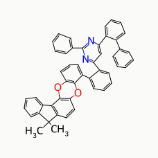 CC1(C)c2ccccc2-c2c1ccc1c2Oc2cccc(-c3ccccc3-c3cc(-c4ccccc4-c4ccccc4)nc(-c4ccccc4)n3)c2O1